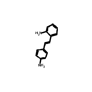 Nc1ccc(C=Cc2ccccc2N)cc1